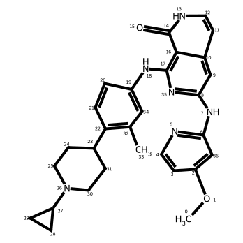 COc1ccnc(Nc2cc3cc[nH]c(=O)c3c(Nc3ccc(C4CCN(C5CC5)CC4)c(C)c3)n2)c1